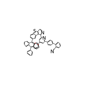 N#Cc1ccccc1-c1ccc(-c2cc(-c3ccccc3)cc(-c3nccc4sc5ccc(-c6c7ccccc7c(-c7ccccc7)c7ccccc67)cc5c34)n2)cc1